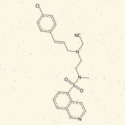 CN(CCN(CC#N)CC=Cc1ccc(Cl)cc1)S(=O)(=O)c1cccc2cnccc12